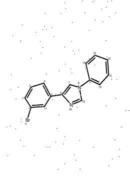 Brc1cccc(-c2cn(-c3ccccc3)cn2)c1